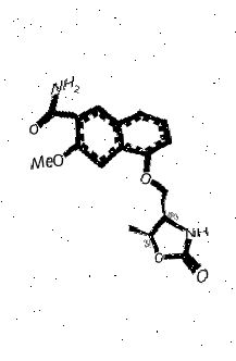 COc1cc2c(OC[C@H]3NC(=O)O[C@H]3C)cccc2cc1C(N)=O